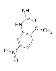 COc1ccc([N+](=O)[O-])cc1NC(N)=O